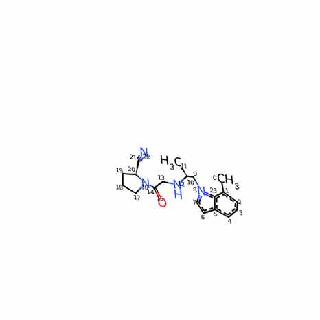 Cc1cccc2ccn(C[C@H](C)NCC(=O)N3CCC[C@H]3C#N)c12